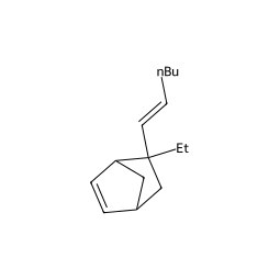 CCCCC=CC1(CC)CC2C=CC1C2